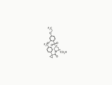 O=C(O)[C@H]1C[C@@H](S(=O)(=O)c2ccc(OCC(F)(F)F)cc2Cl)CN1C(=O)C1(c2ccc(C(F)(F)F)cc2)CC1